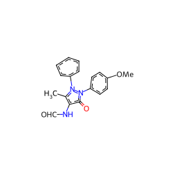 COc1ccc(-n2c(=O)c(NC=O)c(C)n2-c2ccccc2)cc1